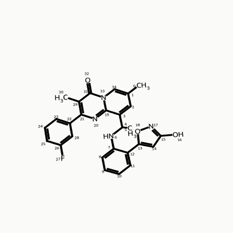 Cc1cc(C(C)Nc2ccccc2-c2cc(O)no2)c2nc(-c3cccc(F)c3)c(C)c(=O)n2c1